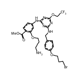 COC(=O)c1ccc(Nc2nc(NCc3ccc(OCCCBr)cc3)nc(OCC(F)(F)F)n2)cc1OCCCN